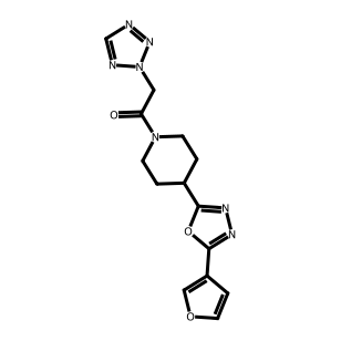 O=C(Cn1ncnn1)N1CCC(c2nnc(-c3ccoc3)o2)CC1